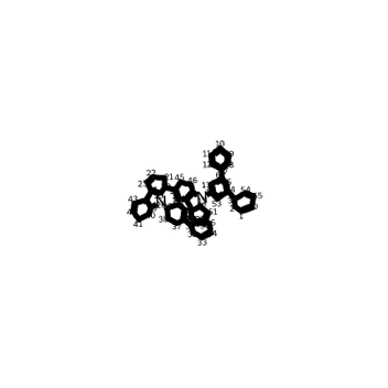 C1=CCC(c2cc(-c3ccccc3)cc(N3C4=C(C=C(C5CC=CC6=C5N(C5CC=C(C7CC=CCC7)CC5)C5CCC=CC65)CC4)C4C=CC=CC43)c2)C=C1